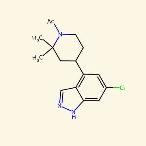 CC(=O)N1CCC(c2cc(Cl)cc3[nH]ncc23)CC1(C)C